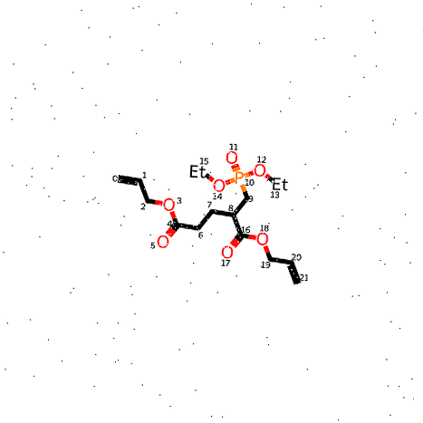 C=CCOC(=O)CCC(CP(=O)(OCC)OCC)C(=O)OCC=C